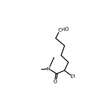 CCC(CCCCC=O)C(=O)N(C)C